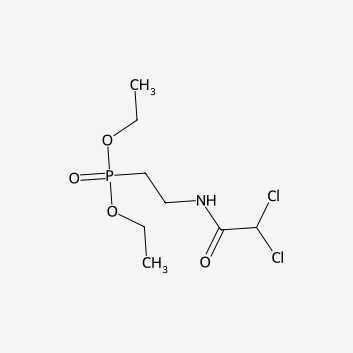 CCOP(=O)(CCNC(=O)C(Cl)Cl)OCC